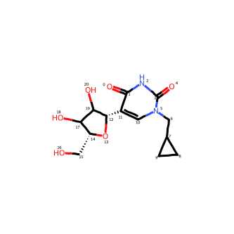 O=c1[nH]c(=O)n(CC2CC2)cc1[C@@H]1O[C@H](CO)C(O)C1O